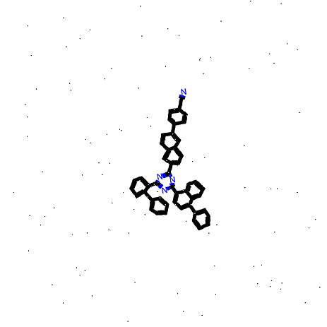 N#Cc1ccc(-c2ccc3cc(-c4nc(-c5ccccc5-c5ccccc5)nc(-c5ccc(-c6ccccc6)c6ccccc56)n4)ccc3c2)cc1